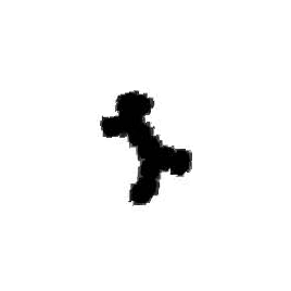 c1ccc(-c2ccc3c(c2)c2cc(-c4ccc5ccccc5c4)ccc2n3-c2ccc(-c3ccc(-c4cc(-c5cccc6ccccc56)nc(-c5ccccc5)n4)cc3)cc2)cc1